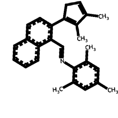 CC1=CCC(c2ccc3ccccc3c2C=Nc2c(C)cc(C)cc2C)=C1C